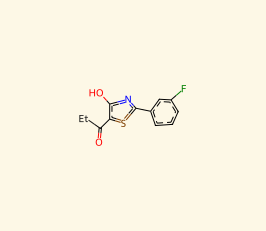 CCC(=O)c1sc(-c2cccc(F)c2)nc1O